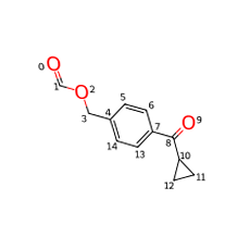 O=COCc1ccc(C(=O)C2CC2)cc1